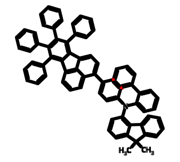 CC1(C)c2ccccc2-c2c(N(c3ccc(-c4ccc5c6c(cccc46)-c4c(-c6ccccc6)c(-c6ccccc6)c(-c6ccccc6)c(-c6ccccc6)c4-5)cc3)c3ccccc3-c3ccccc3)cccc21